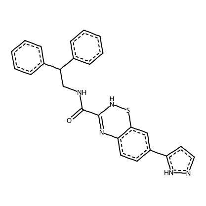 O=C(NCC(c1ccccc1)c1ccccc1)C1=Nc2ccc(-c3ccn[nH]3)cc2SN1